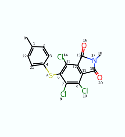 Cc1ccc(Sc2c(Cl)c(Cl)c3c(c2Cl)C(=O)N(C)C3=O)cc1